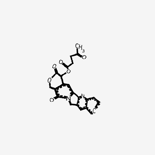 CC(=O)CCC(=O)OC1C(=O)OCc2c1cc1n(c2=O)Cc2cc3ccccc3nc2-1